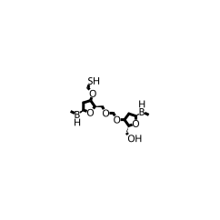 CB[C@H]1CC(OCOC[C@H]2O[C@@H](BC)CC2OCS)[C@@H](CO)O1